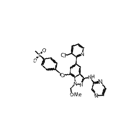 COCn1nc(Nc2cnccn2)c2cc(-c3ncccc3Cl)cc(Oc3ccc(S(C)(=O)=O)cc3)c21